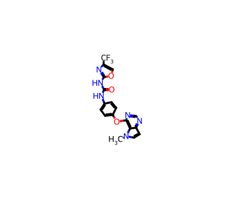 Cn1ccc2ncnc(Oc3ccc(NC(=O)Nc4nc(C(F)(F)F)co4)cc3)c21